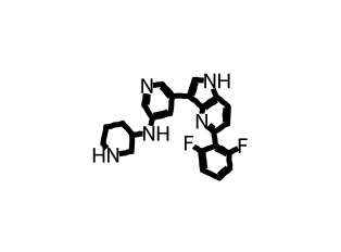 Fc1cccc(F)c1-c1ccc2[nH]cc(-c3cncc(NC4CCCNC4)c3)c2n1